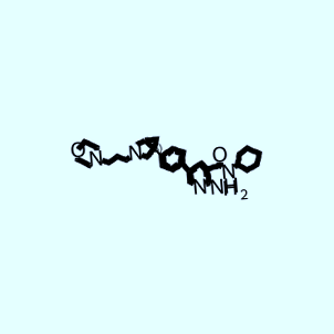 Nc1ncc(-c2ccc([C@]34CC3CN(CCCN3CCOCC3)C4)cc2)cc1C(=O)NC1CCCCC1